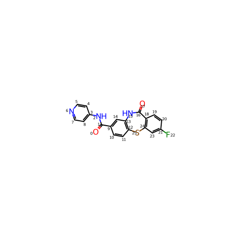 O=C(Nc1ccncc1)c1ccc2c(c1)NC(=O)c1ccc(F)cc1S2